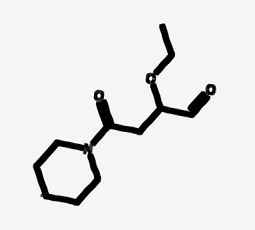 CCOC(C=O)CC(=O)N1CC[CH]CC1